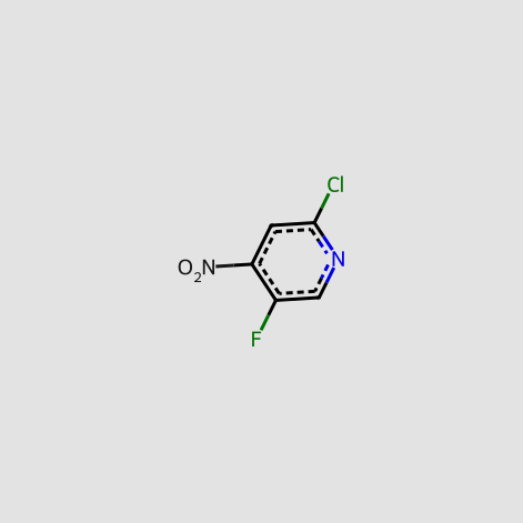 O=[N+]([O-])c1cc(Cl)ncc1F